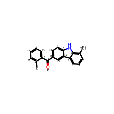 CCc1cccc2c1[nH]c1ccc(C(=O)c3ccccc3C)cc12